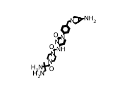 CC(N)(CN)C(=O)N1CCN(C(=O)Nc2ccn(-c3ccc(CN4CC5C(N)C5C4)cc3)c(=O)n2)CC1